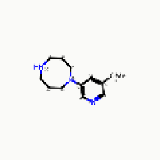 COc1cncc(N2CCCNCCC2)c1